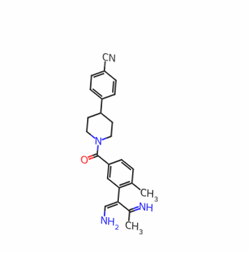 CC(=N)/C(=C\N)c1cc(C(=O)N2CCC(c3ccc(C#N)cc3)CC2)ccc1C